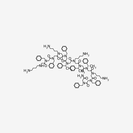 C[C@@H](c1ccccc1)N(CC(=O)N(CCCCN)CC(=O)N(CC(=O)N(CC(=O)N(CCCCN)CC(=O)N(CC(=O)N(CC(N)=O)Cc1ccccc1)Cc1ccccc1)[C@@H](C)c1ccccc1)[C@@H](C)c1ccccc1)C(=O)CN(Cc1ccccc1)C(=O)CN(CCCCN)C(=O)CN(Cc1ccccc1)C(=O)CN(Cc1ccccc1)C(=O)CNCCCCN